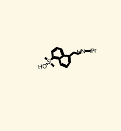 CC(C)NCCc1cccc2c([Si](C)(C)O)cccc12